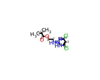 C=C(C)C(=O)OCCNN1N=C(Cl)C=C(Cl)N1